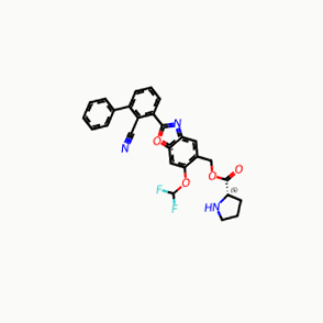 N#Cc1c(-c2ccccc2)cccc1-c1nc2cc(COC(=O)[C@@H]3CCCN3)c(OC(F)F)cc2o1